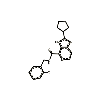 O=C(NCc1ccccc1Cl)c1nccc2nc(C3CCCC3)[nH]c12